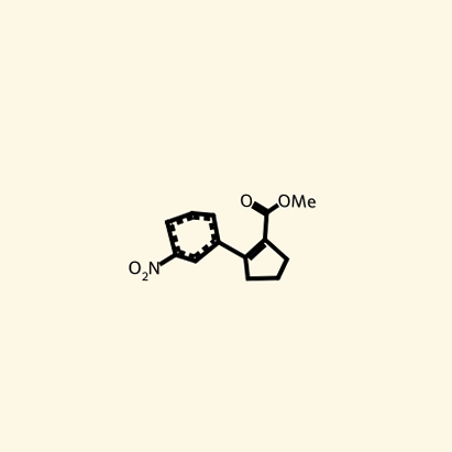 COC(=O)C1=C(c2cccc([N+](=O)[O-])c2)CCC1